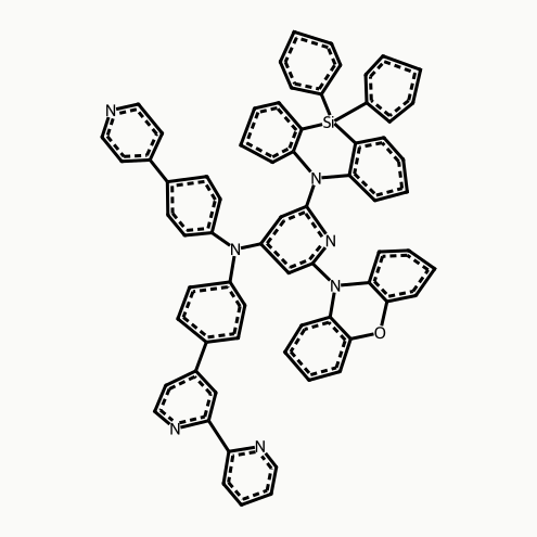 c1ccc([Si]2(c3ccccc3)c3ccccc3N(c3cc(N(c4ccc(-c5ccncc5)cc4)c4ccc(-c5ccnc(-c6ccccn6)c5)cc4)cc(N4c5ccccc5Oc5ccccc54)n3)c3ccccc32)cc1